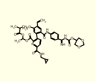 C=Cc1cc(C(=O)Nc2ccc(C(=N)NC(=O)OC3COCOC3)cc2)c(-c2ccc(C(=O)NCC3CC3)nc2C(=O)OC(C)OC(=O)C(C)C)cc1OC